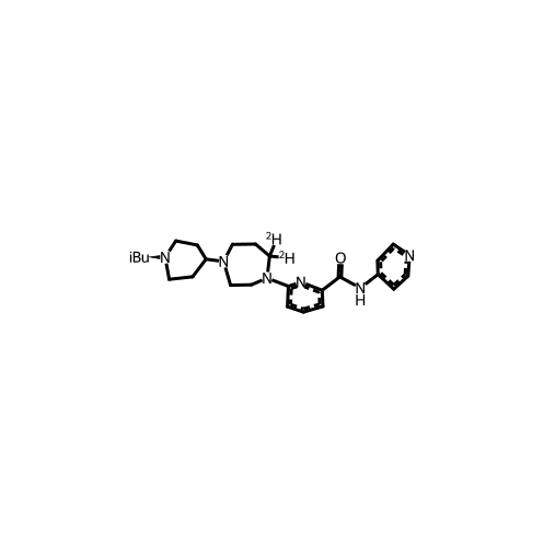 [2H]C1([2H])CCN(C2CCN([C@H](C)CC)CC2)CCN1c1cccc(C(=O)Nc2ccncc2)n1